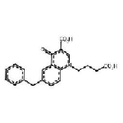 O=C(O)CCCn1cc(C(=O)O)c(=O)c2cc(Cc3ccccc3)ccc21